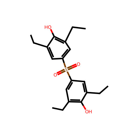 CCc1cc(S(=O)(=O)c2cc(CC)c(O)c(CC)c2)cc(CC)c1O